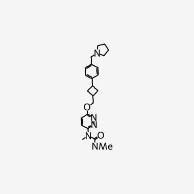 CNC(=O)N(C)c1ccc(OCC2CC(c3ccc(CN4CCCC4)cc3)C2)nn1